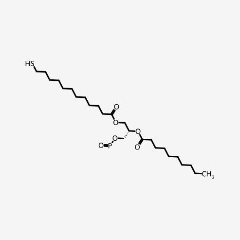 CCCCCCCCCC(=O)O[C@H](COP=O)COC(=O)CCCCCCCCCCCS